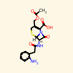 CC(=O)OCC1=C(C(=O)O)N2C(=O)[C@@H](NC(=O)Cc3ccccc3N)[C@H]2SC1